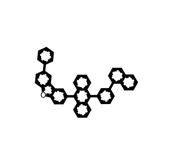 c1ccc(-c2ccc3oc4ccc(-c5c6ccccc6c(-c6cccc(-c7cccc8ccccc78)c6)c6ccccc56)cc4c3c2)cc1